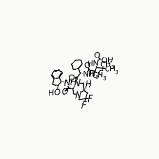 C[C@H](C(=O)N[C@H](C(=O)N1C[C@H]2CC(F)(F)CN2C[C@H]1C(=O)N[C@H]1c2ccccc2C[C@@H]1O)C1CCCCC1)C(NC(=O)O)C(C)(C)C